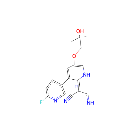 CC(C)(O)COC1=CN/C(=C(/C#N)C=N)C(c2ccc(F)nc2)=C1